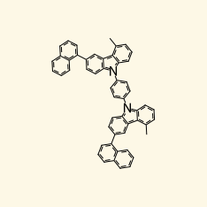 Cc1cccc2c1c1cc(-c3cccc4ccccc34)ccc1n2-c1ccc(-n2c3ccc(-c4cccc5ccccc45)cc3c3c(C)cccc32)cc1